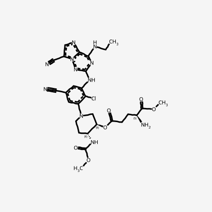 CCNc1nc(Nc2cc(C#N)cc(N3CC[C@@H](NC(=O)OC)[C@H](OC(=O)CC[C@H](N)C(=O)OC)C3)c2Cl)nn2c(C#N)cnc12